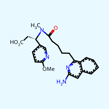 COc1ccc([C@H](CC(=O)O)N(C)C(=O)CCCCc2nc(N)cc3ccccc23)cn1